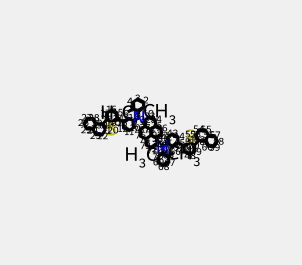 Cc1cccc(C)c1N(c1cccc(-c2cccc3c2sc2ccc4ccccc4c23)c1)c1ccc2ccc3c(N(c4cccc(-c5cccc6c5sc5ccc7ccccc7c56)c4)c4c(C)cccc4C)ccc4ccc1c2c43